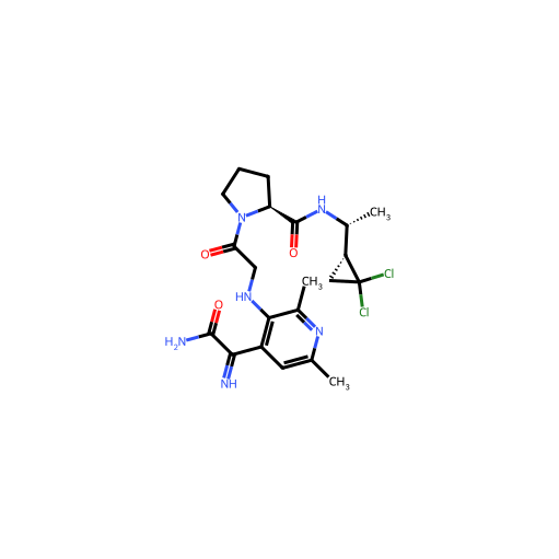 Cc1cc(C(=N)C(N)=O)c(NCC(=O)N2CCC[C@H]2C(=O)N[C@H](C)[C@H]2CC2(Cl)Cl)c(C)n1